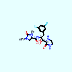 CCCN1CC(C(=O)N[C@@H](Cc2cc(F)cc(F)c2)[C@H](O)[C@@H]2NCCNC2=O)N(CC)C1=O